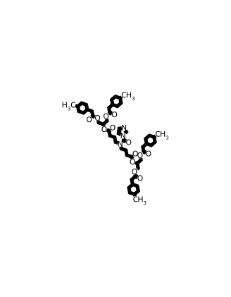 CC1CCC(CC(=O)OCC(COC(=O)CC2CCC(C)CC2)OC(=O)CCCN(CCCC(=O)OC(COC(=O)CC2CCC(C)CC2)COC(=O)CC2CCC(C)CC2)C(=O)n2ccnc2)CC1